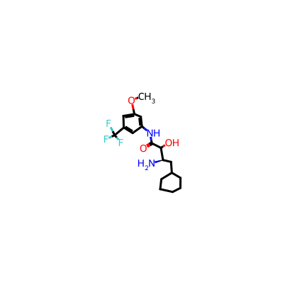 COc1cc(NC(=O)C(O)[C@H](N)CC2CCCCC2)cc(C(F)(F)F)c1